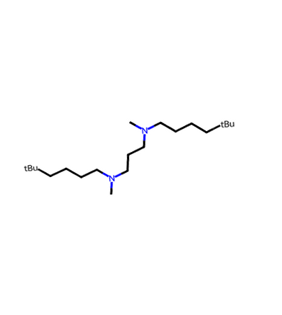 CN(CCCCC(C)(C)C)CCCN(C)CCCCC(C)(C)C